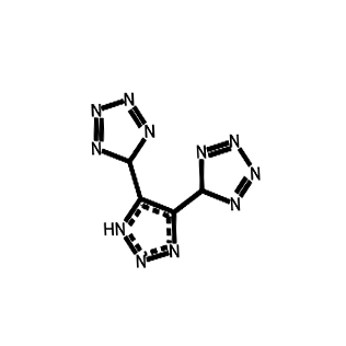 N1=NC(c2nn[nH]c2C2N=NN=N2)N=N1